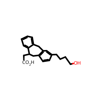 O=C(O)CC1Cc2ccc(CCCCO)cc2Cc2ccccc21